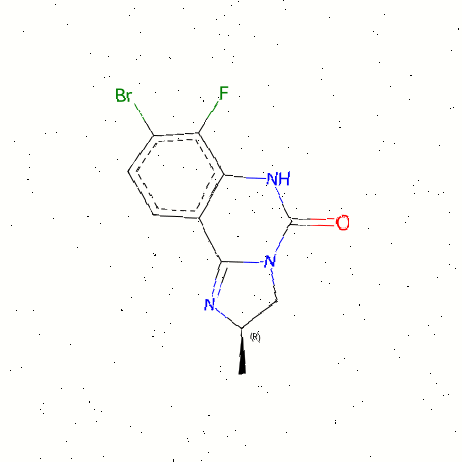 C[C@@H]1CN2C(=O)Nc3c(ccc(Br)c3F)C2=N1